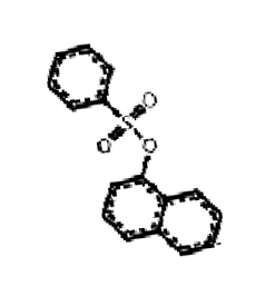 O=S(=O)(Oc1cccc2c[c]ccc12)c1ccccc1